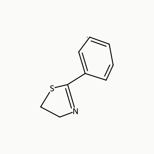 [c]1cccc(C2=NCCS2)c1